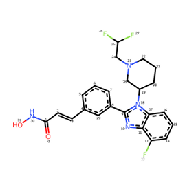 O=C(C=Cc1cccc(-c2nc3c(F)cccc3n2C2CCCN(CC(F)F)C2)c1)NO